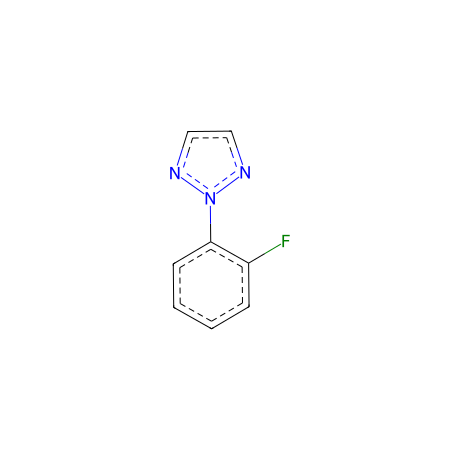 Fc1ccccc1-n1nccn1